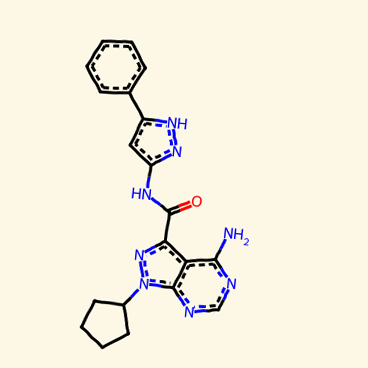 Nc1ncnc2c1c(C(=O)Nc1cc(-c3ccccc3)[nH]n1)nn2C1CCCC1